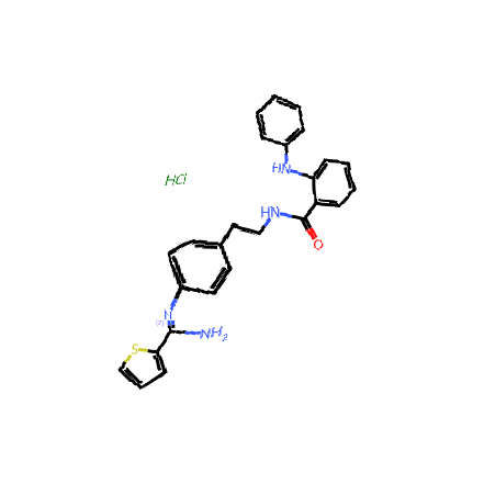 Cl.N/C(=N\c1ccc(CCNC(=O)c2ccccc2Nc2ccccc2)cc1)c1cccs1